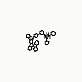 c1ccc(-c2nc(-c3ccccc3)nc(-c3cccc(-c4ccc(-n5c6ccccc6c6cc7c(cc65)C5(c6ccccc6-c6ccccc65)c5ccccc5-7)cc4)c3)n2)cc1